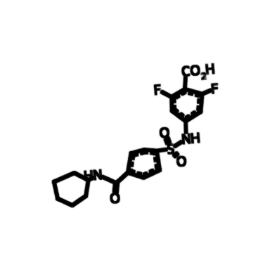 O=C(NC1CCCCC1)c1ccc(S(=O)(=O)Nc2cc(F)c(C(=O)O)c(F)c2)cc1